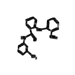 COc1ccccc1Nc1ccccc1C(=O)Nc1cccc(C(F)(F)F)c1